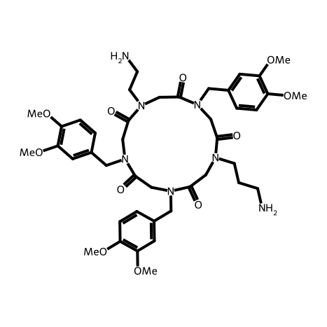 COc1ccc(CN2CC(=O)N(CCCN)CC(=O)N(Cc3ccc(OC)c(OC)c3)CC(=O)N(Cc3ccc(OC)c(OC)c3)CC(=O)N(CCN)CC2=O)cc1OC